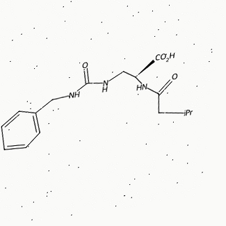 CC(C)CC(=O)N[C@@H](CNC(=O)NCc1ccccc1)C(=O)O